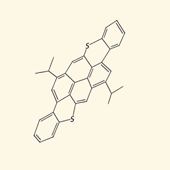 CC(C)c1cc2c3ccccc3sc3cc4c(C(C)C)cc5c6ccccc6sc6cc1c(c32)c4c65